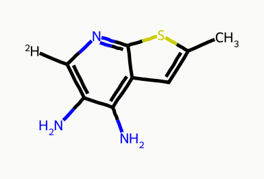 [2H]c1nc2sc(C)cc2c(N)c1N